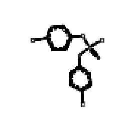 O=P(Cl)(Oc1ccc(Cl)cc1)Sc1ccc(Cl)cc1